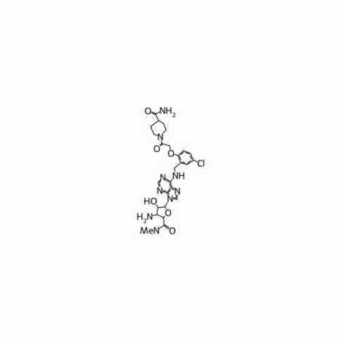 CNC(=O)C1OC(n2cnc3c(NCc4cc(Cl)ccc4OCC(=O)N4CCC(C(N)=O)CC4)ncnc32)C(O)C1N